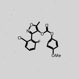 COc1ccc(OC(=O)Oc2c(-c3c(F)cccc3Cl)noc2C)cc1